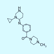 CN1CCN(C(=O)c2cccc(N=C3CCNCN3C3CC3)c2)CC1